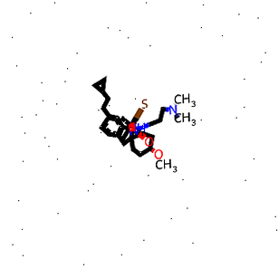 COC1CCC2(CC1)Cc1ccc(CCC3CC3)cc1C21NC(=S)N(CCN(C)C)C1=O